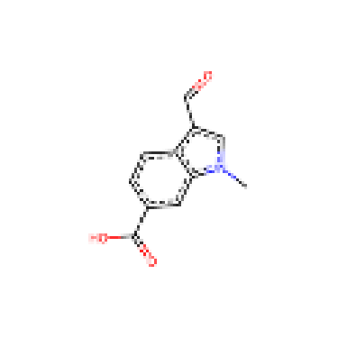 Cn1cc(C=O)c2ccc(C(=O)O)cc21